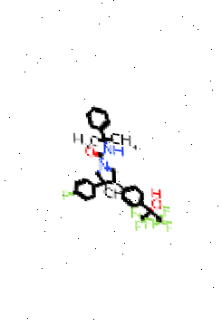 CC(C)(NC(=O)N1C[C@@H](c2ccc(C(O)(C(F)(F)F)C(F)(F)F)cc2)[C@@](C)(c2ccc(F)cc2)C1)c1ccccc1